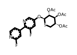 CC(=O)O[C@@H]1[C@@H](OC(C)=O)[C@H](OC(C)=O)CS[C@H]1Oc1cnc(-c2ccnc(F)c2)c(F)c1